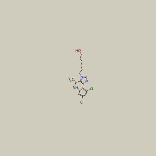 CC(N)c1c(-c2ccc(Cl)cc2Cl)ncn1CCCCCCO